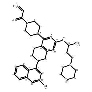 C=CC(=O)N1CCN(c2nc(OC(C)CCN3CCOCC3)nc3c2CCN(c2cc(O)cc4ccccc24)C3)CC1